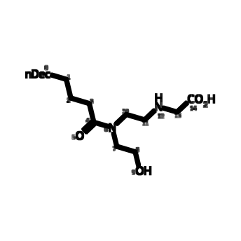 CCCCCCCCCCCCCC(=O)N(CCO)CCNCC(=O)O